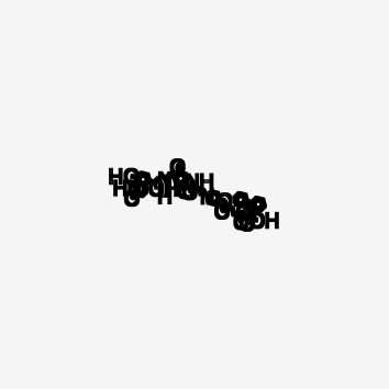 COc1cc(NC(=O)CCN2CCC(OC(=O)CCC(=O)ON(C(=O)O)c3ccccc3-c3ccccc3)CC2)c(Cl)cc1CNC[C@@H](O)c1ccc(O)c2[nH]c(=O)ccc12